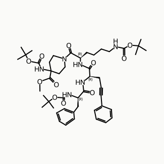 COC(=O)C1(NC(=O)OC(C)(C)C)CCN(C(=O)[C@@H](CCCCNC(=O)OC(C)(C)C)NC(=O)[C@@H](CC#Cc2ccccc2)NC(=O)[C@@H](Cc2ccccc2)NC(=O)OC(C)(C)C)CC1